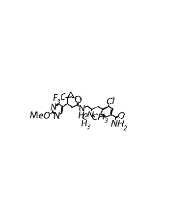 COc1ncc(C(CC(=O)NCC(Cc2ccc(C(N)=O)cc2Cl)N(C)C)C2(C(F)(F)F)CC2)cn1